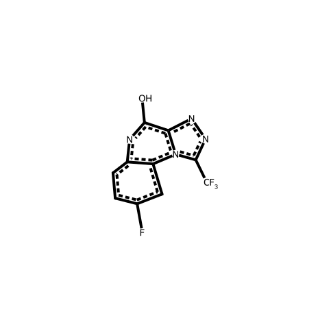 Oc1nc2ccc(F)cc2n2c(C(F)(F)F)nnc12